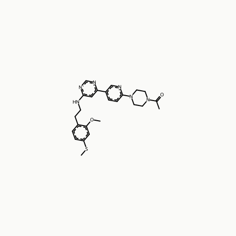 COc1cc(SC)ccc1CCNc1cc(-c2ccc(N3CCN(C(C)=O)CC3)nc2)ncn1